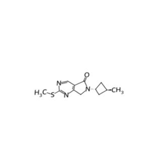 CSc1ncc2c(n1)CN([C@H]1C[C@H](C)C1)C2=O